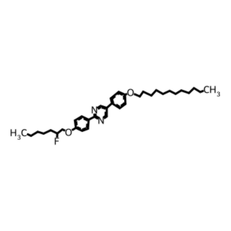 CCCCCCCCCCCCOc1ccc(-c2cnc(-c3ccc(OCC(F)CCCCC)cc3)nc2)cc1